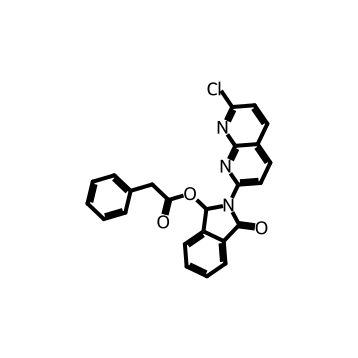 O=C(Cc1ccccc1)OC1c2ccccc2C(=O)N1c1ccc2ccc(Cl)nc2n1